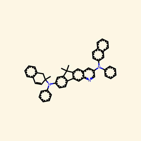 CC1(C)c2cc(N(c3ccccc3)C3(C)C=Cc4ccccc4C3)ccc2-c2cc3ncc(N(c4ccccc4)c4ccc5ccccc5c4)cc3cc21